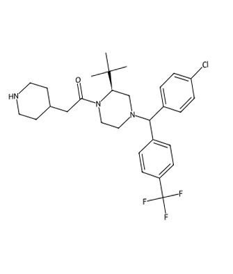 CC(C)(C)[C@H]1CN(C(c2ccc(Cl)cc2)c2ccc(C(F)(F)F)cc2)CCN1C(=O)CC1CCNCC1